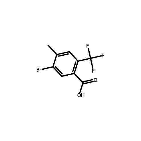 Cc1cc(C(F)(F)F)c(C(=O)O)cc1Br